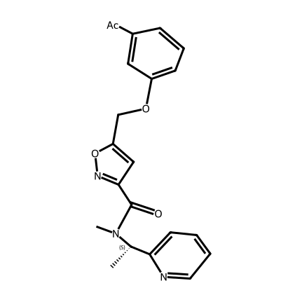 CC(=O)c1cccc(OCc2cc(C(=O)N(C)[C@@H](C)c3ccccn3)no2)c1